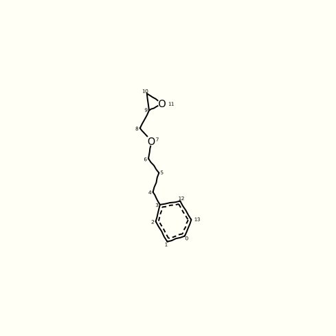 c1ccc(CCCOCC2CO2)cc1